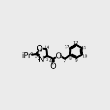 CC(C)C1=NC(C(=O)OCc2ccccc2)CO1